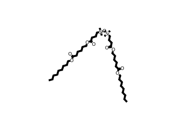 CCCCCCCCCOC(=O)CCCCCOC(=O)CCC[Si](C)(C)O[Si](C)(C)CCCC(=O)OCCCCCC(=O)OCCCCCCCCC